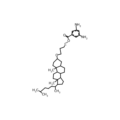 CC(C)CCCC(C)C1CCC2C3CCC4CC(OCCCCOC(=O)c5cc(N)cc(N)c5)CCC4(C)C3CCC12C